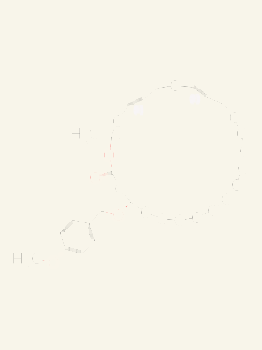 COc1ccc(CO[C@@H]2CCCCCCCCCCCC/C=C/CC/C=C/C[C@@H](C)OC(=O)C2)cc1